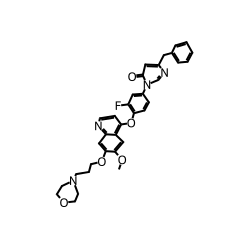 COc1cc2c(Oc3ccc(-n4cnc(Cc5ccccc5)cc4=O)cc3F)ccnc2cc1OCCCN1CCOCC1